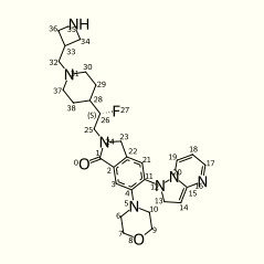 O=C1c2cc(N3CCOCC3)c(N3CC=C4N=CC=CN43)cc2CN1C[C@@H](F)C1CCN(CC2CNC2)CC1